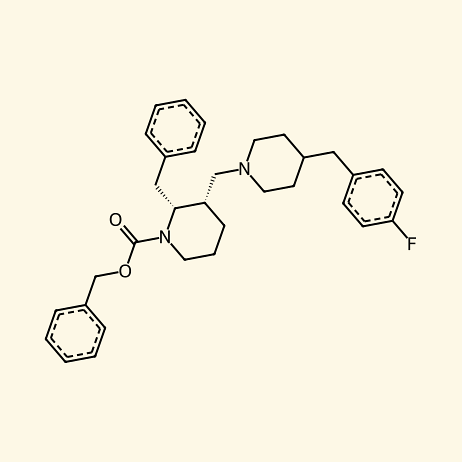 O=C(OCc1ccccc1)N1CCC[C@@H](CN2CCC(Cc3ccc(F)cc3)CC2)[C@H]1Cc1ccccc1